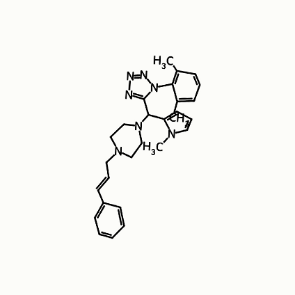 Cc1cccc(C)c1-n1nnnc1C(c1cccn1C)N1CCN(CC=Cc2ccccc2)CC1